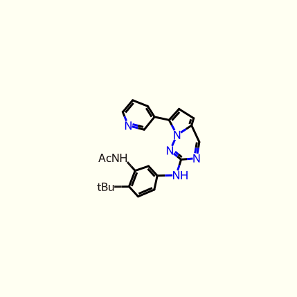 CC(=O)Nc1cc(Nc2ncc3ccc(-c4cccnc4)n3n2)ccc1C(C)(C)C